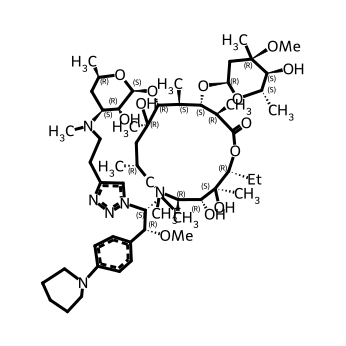 CC[C@H]1OC(=O)[C@H](C)[C@@H](O[C@H]2C[C@@](C)(OC)[C@@H](O)[C@H](C)O2)[C@H](C)[C@@H](O[C@@H]2O[C@H](C)C[C@H](N(C)CCc3cn([C@H](CF)[C@H](OC)c4ccc(N5CCCCC5)cc4)nn3)[C@H]2O)[C@](C)(O)C[C@@H](C)CN(C)[C@H](C)[C@@H](O)[C@]1(C)O